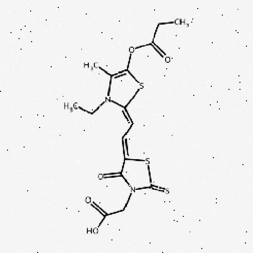 CCC(=O)OC1=C(C)N(CC)C(=CC=C2SC(=S)N(CC(=O)O)C2=O)S1